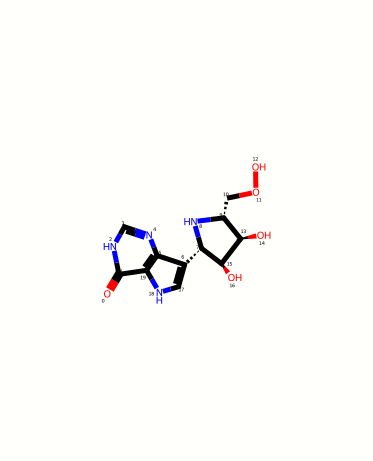 O=c1[nH]cnc2c([C@@H]3N[C@H](COO)[C@@H](O)[C@H]3O)c[nH]c12